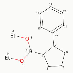 CCOB(OCC)C1CCCC1c1ccccc1